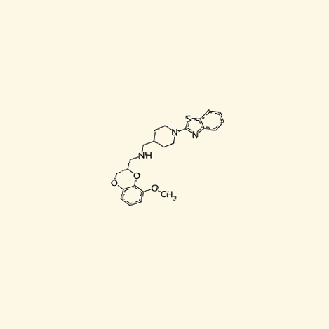 COc1cccc2c1OC(CNCC1CCN(c3nc4ccccc4s3)CC1)CO2